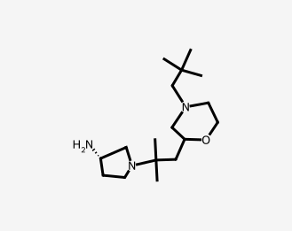 CC(C)(C)CN1CCOC(CC(C)(C)N2CC[C@H](N)C2)C1